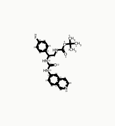 CC(C)(C)OC(=O)NCC(NC(=O)Nc1ccc2cnccc2c1)c1ccc(F)cc1